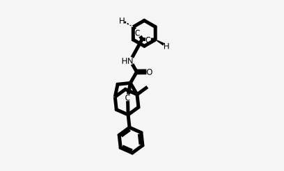 CC12CC3CC(c4ccccc4)(C1)CC2(C(=O)NC1C[C@H]2CC[C@@H](CC2)C1)C3